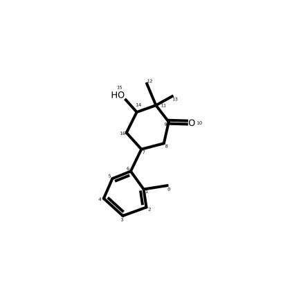 Cc1ccccc1C1CC(=O)C(C)(C)C(O)C1